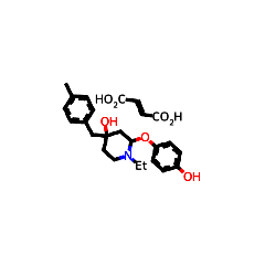 CCN1CCC(O)(Cc2ccc(C)cc2)CC1Oc1ccc(O)cc1.O=C(O)C=CC(=O)O